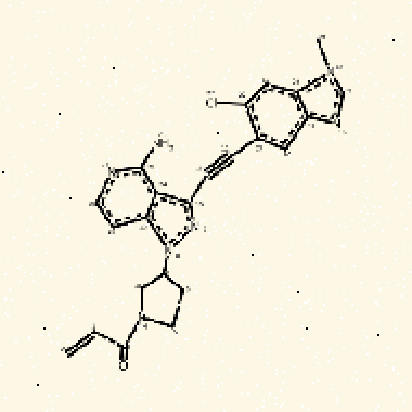 C=CC(=O)N1CCC(n2nc(C#Cc3cc4ncn(C)c4cc3Cl)c3c(N)nccc32)C1